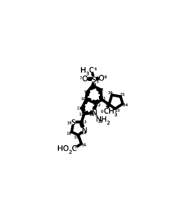 CC1(c2cc(S(C)(=O)=O)cc3cc(C4=NC(CC(=O)O)CS4)n(N)c23)CCCC1